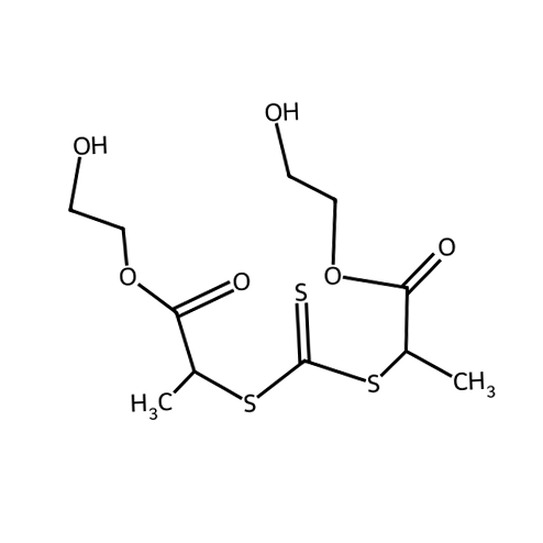 CC(SC(=S)SC(C)C(=O)OCCO)C(=O)OCCO